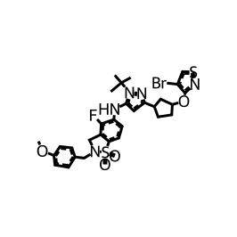 COc1ccc(CN2Cc3c(ccc(Nc4cc(C5CCC(Oc6nscc6Br)C5)nn4C(C)(C)C)c3F)S2(=O)=O)cc1